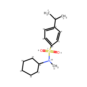 CC(C)c1ccc(S(=O)(=O)N(C)C2CCCCC2)cc1